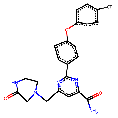 NC(=O)c1cc(CN2CCNC(=O)C2)nc(-c2ccc(Oc3ccc(C(F)(F)F)cc3)cc2)n1